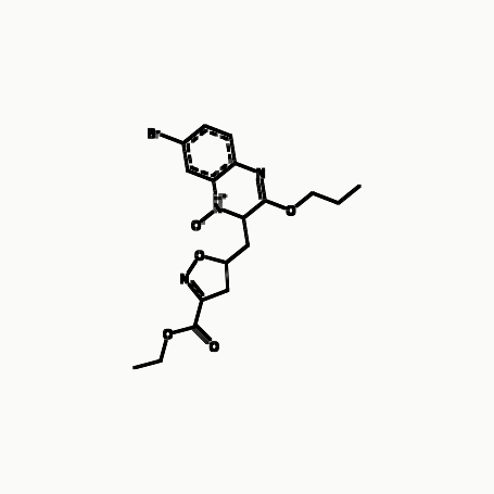 CCCOC1=Nc2ccc(Br)cc2[NH+]([O-])C1CC1CC(C(=O)OCC)=NO1